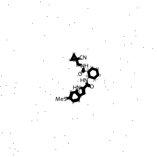 CSc1ccc2cc(C(=O)N[C@H]3CCCC[C@H]3C(=O)NCC3(C#N)CC3)[nH]c2c1